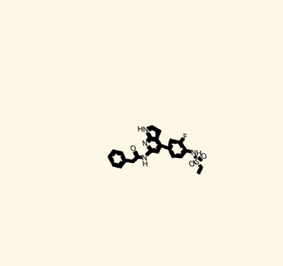 CCS(=O)(=O)Nc1ccc(-c2cc(NC(=O)Cc3ccccc3)nc3[nH]ccc23)cc1F